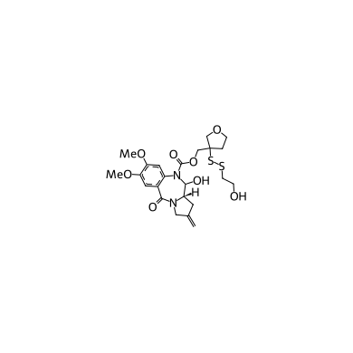 C=C1C[C@H]2C(O)N(C(=O)OCC3(SSCCO)CCOC3)c3cc(OC)c(OC)cc3C(=O)N2C1